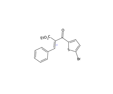 CCOC(=O)/C(=C\c1ccccc1)C(=O)c1ccc(Br)s1